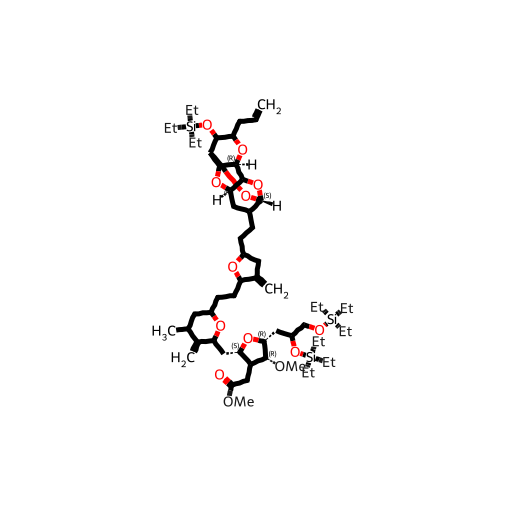 C=CCC1O[C@@H]2C3O[C@@H]4CC(CCC5CC(=C)C(CCC6CC(C)C(=C)C(C[C@@H]7O[C@H](CC(CO[Si](CC)(CC)CC)O[Si](CC)(CC)CC)[C@H](OC)C7CC(=O)OC)O6)O5)[C@H](OC3C1O[Si](CC)(CC)CC)OC24